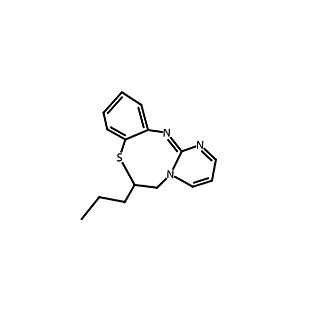 CCCC1CN2C=CC=NC2=Nc2ccccc2S1